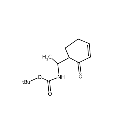 CC(NC(=O)OC(C)(C)C)C1CCC=CC1=O